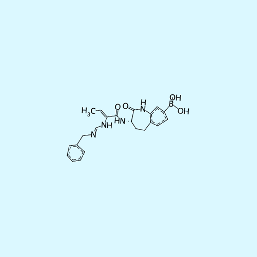 C/C=C(\N/C=N/Cc1ccccc1)C(=O)N[C@H]1CCc2ccc(B(O)O)cc2NC1=O